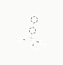 C=CCC(CC=C)(CC=C)c1ccc(-c2cc[c]cc2)cc1